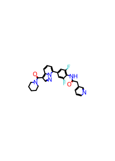 O=C(Cc1cccnc1)Nc1c(F)cc(-c2cccc3c(C(=O)N4CCCCC4)cnn23)cc1F